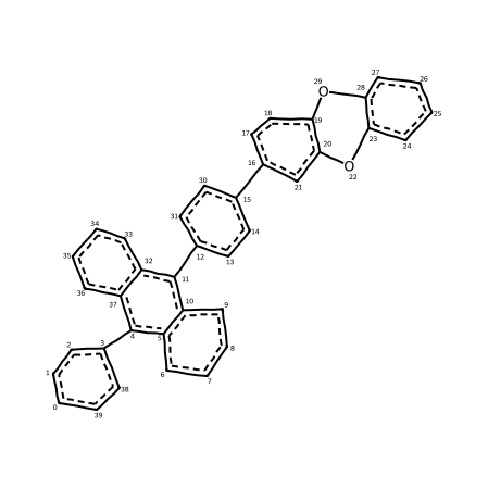 c1ccc(-c2c3ccccc3c(-c3ccc(-c4ccc5c(c4)Oc4ccccc4O5)cc3)c3ccccc23)cc1